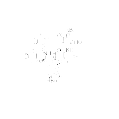 CC(C)CC(C(=O)NC(C=O)CC(=O)OC(C)(C)C)C(=O)NC(CCC(=O)OC(C)(C)C)C(=O)NC(c1ccccc1)c1ccccc1